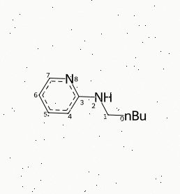 CCCCCNc1c[c]ccn1